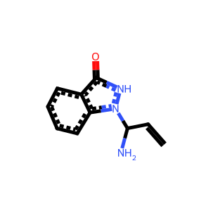 C=CC(N)n1[nH]c(=O)c2ccccc21